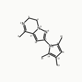 CC1=NCCn2nc(-n3c(C)cc(C)c3C)cc21